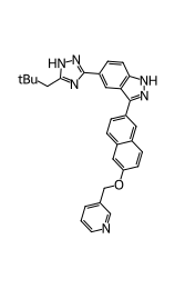 CC(C)(C)Cc1nc(-c2ccc3[nH]nc(-c4ccc5cc(OCc6cccnc6)ccc5c4)c3c2)n[nH]1